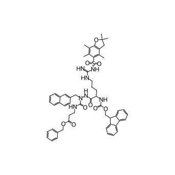 Cc1c(C)c(S(=O)(=O)NC(=N)NCCCC(NC(=O)OCC2c3ccccc3-c3ccccc32)C(=O)NN(Cc2ccc3ccccc3c2)C(=O)NCCC(=O)OCc2ccccc2)c(C)c2c1OC(C)(C)C2